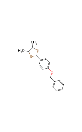 CC1SC(c2ccc(OCc3ccccc3)cc2)SC1C